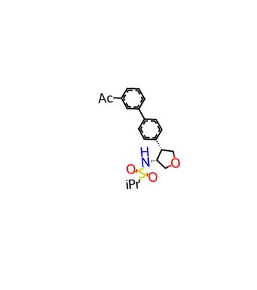 CC(=O)c1cccc(-c2ccc([C@@H]3COC[C@@H]3NS(=O)(=O)C(C)C)cc2)c1